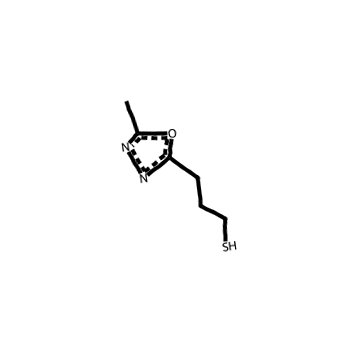 Cc1nnc(CCCS)o1